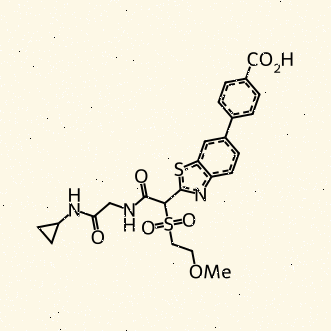 COCCS(=O)(=O)C(C(=O)NCC(=O)NC1CC1)c1nc2ccc(-c3ccc(C(=O)O)cc3)cc2s1